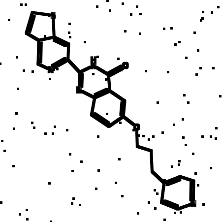 O=c1[nH]c(-c2cc3sccc3cn2)nc2ccc(OCCCc3ccncc3)cc12